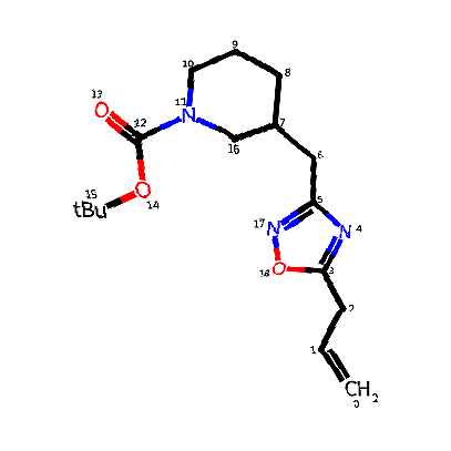 C=CCc1nc(CC2CCCN(C(=O)OC(C)(C)C)C2)no1